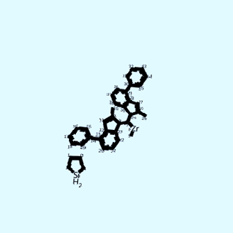 C1CC[SiH2]C1.[CH3][Zr][CH](C1C(C)=Cc2c(-c3ccccc3)cccc21)C1C(C)=Cc2c(-c3ccccc3)cccc21